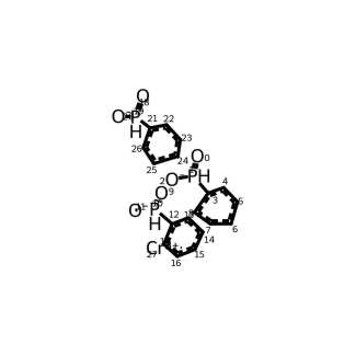 O=[PH]([O-])c1ccccc1.O=[PH]([O-])c1ccccc1.O=[PH]([O-])c1ccccc1.[Cr+3]